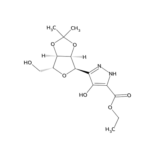 CCOC(=O)c1[nH]nc([C@H]2O[C@H](CO)[C@H]3OC(C)(C)O[C@H]32)c1O